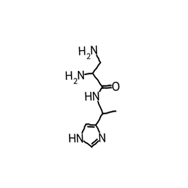 CC(NC(=O)C(N)CN)c1c[nH]cn1